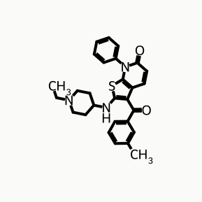 CCN1CCC(Nc2sc3c(ccc(=O)n3-c3ccccc3)c2C(=O)c2cccc(C)c2)CC1